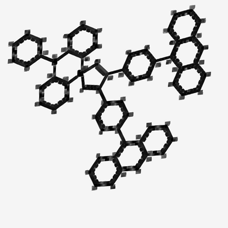 C1=C(c2ccc(-c3c4ccccc4cc4ccccc34)cc2)C(c2ccc(-c3c4ccccc4cc4ccccc34)cc2)=C[Si]12c1ccccc1B(c1ccccc1)c1ccccc12